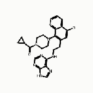 O=C(C1CC1)N1CCN(c2c(CCNc3ncnc4[nH]cnc34)cc(Cl)c3cccnc23)CC1